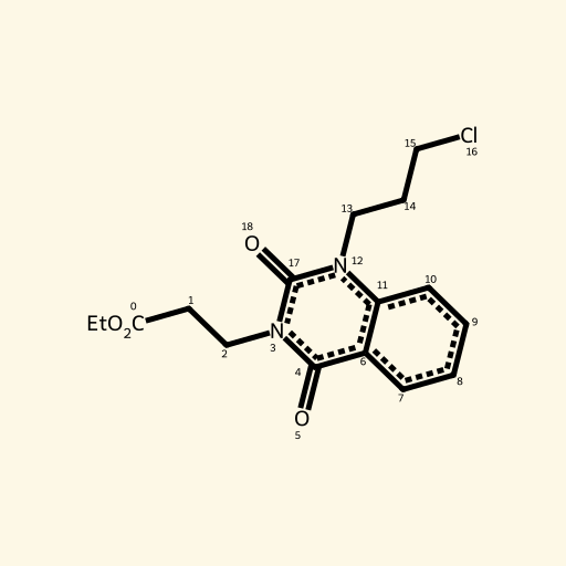 CCOC(=O)CCn1c(=O)c2ccccc2n(CCCCl)c1=O